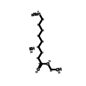 CCCCCCCCCCCCCCCCCC(=O)OCO.[KH]